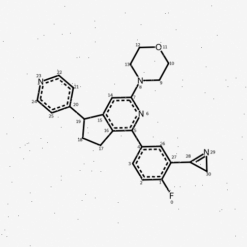 Fc1ccc(-c2nc(N3CCOCC3)cc3c2CCC3c2ccncc2)cc1C1=NC1